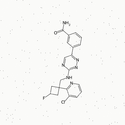 NC(=O)c1cccc(-c2cnc(NCC3(c4ncccc4Cl)CC(F)C3)nn2)c1